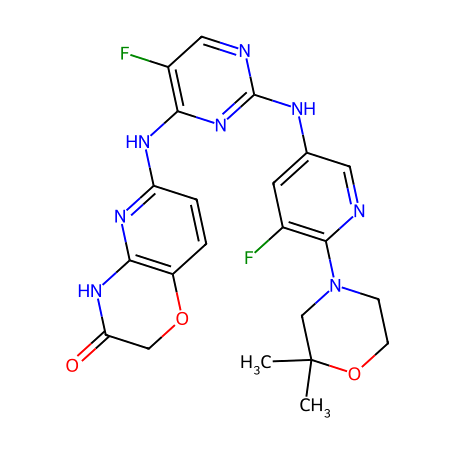 CC1(C)CN(c2ncc(Nc3ncc(F)c(Nc4ccc5c(n4)NC(=O)CO5)n3)cc2F)CCO1